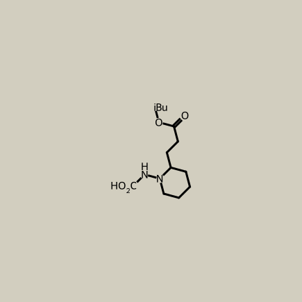 CCC(C)OC(=O)CCC1CCCCN1NC(=O)O